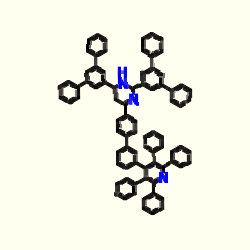 C1=C(c2cc(-c3ccccc3)cc(-c3ccccc3)c2)NC(c2cc(-c3ccccc3)cc(-c3ccccc3)c2)N=C1c1ccc(-c2cccc(-c3c(-c4ccccc4)c(-c4ccccc4)nc(-c4ccccc4)c3-c3ccccc3)c2)cc1